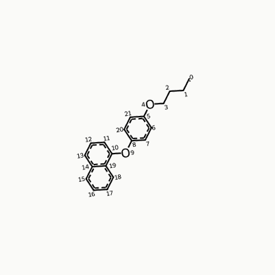 [CH2]CCCOc1ccc(Oc2cccc3ccccc23)cc1